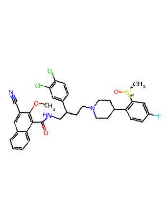 COc1c(C#N)cc2ccccc2c1C(=O)NCC(CCN1CCC(c2ccc(F)cc2[S@+](C)[O-])CC1)c1ccc(Cl)c(Cl)c1